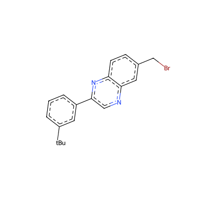 CC(C)(C)c1cccc(-c2cnc3cc(CBr)ccc3n2)c1